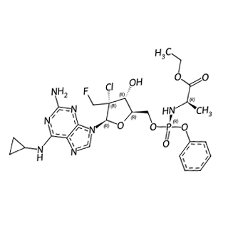 CCOC(=O)[C@@H](C)N[P@@](=O)(OC[C@H]1O[C@@H](n2cnc3c(NC4CC4)nc(N)nc32)[C@@](Cl)(CF)[C@@H]1O)Oc1ccccc1